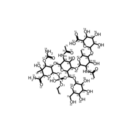 CCOP(=O)(O)OC1OC(C(N)=O)C(C)(O)C(OC(N)=O)C1OC1OC(COC2OC(CO)C(O)C(O)C2O)C(OC2OC(C)C(OC3OC(C(=O)O)C(O)C(O)C3O)C(O)C2NC(C)=O)C(O)C1NC(C)=O